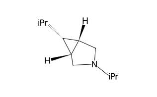 CC(C)[C@@H]1[C@@H]2CN(C(C)C)C[C@@H]21